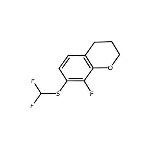 Fc1c(SC(F)F)ccc2c1OCCC2